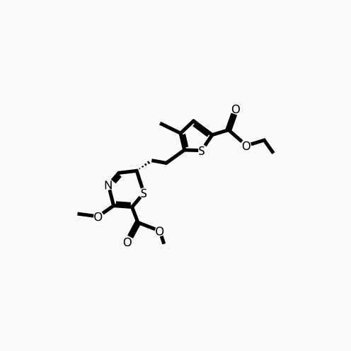 CCOC(=O)c1cc(C)c(CC[C@H]2C=NC(OC)=C(C(=O)OC)S2)s1